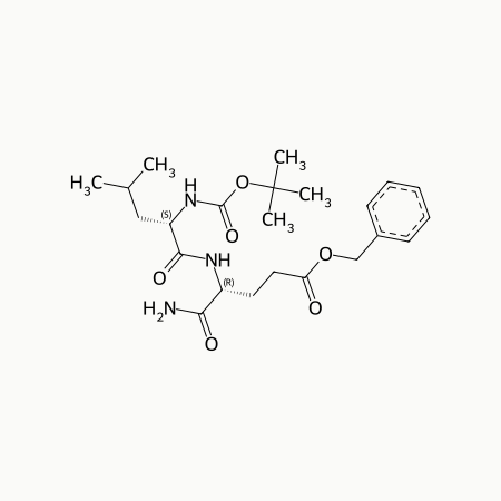 CC(C)C[C@H](NC(=O)OC(C)(C)C)C(=O)N[C@H](CCC(=O)OCc1ccccc1)C(N)=O